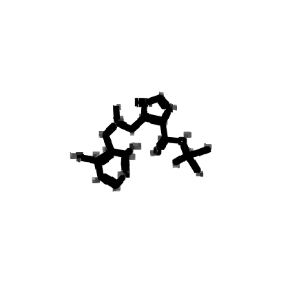 CN(Cc1[nH]cnc1C(=O)OC(C)(C)C)Cc1c(F)ccnc1F